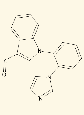 O=Cc1cn(-c2ccccc2-n2ccnc2)c2ccccc12